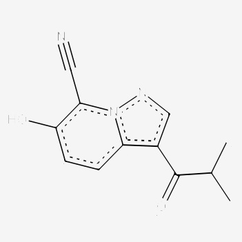 CC(C)C(=O)c1cnn2c(C#N)c(O)ccc12